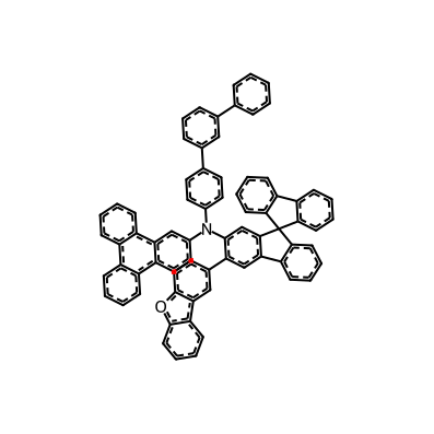 c1ccc(-c2cccc(-c3ccc(N(c4ccc5c6ccccc6c6ccccc6c5c4)c4cc5c(cc4-c4ccc6oc7ccccc7c6c4)-c4ccccc4C54c5ccccc5-c5ccccc54)cc3)c2)cc1